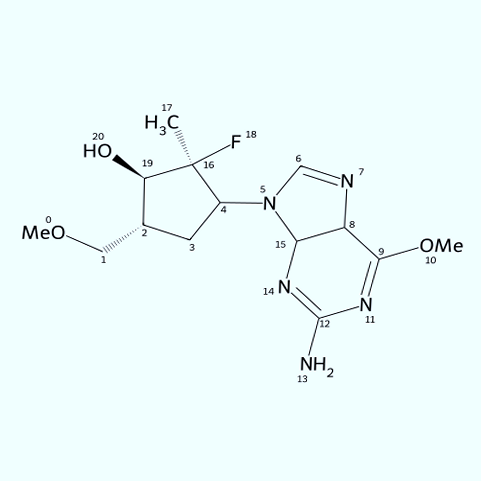 COC[C@H]1CC(N2C=NC3C(OC)=NC(N)=NC32)[C@](C)(F)[C@@H]1O